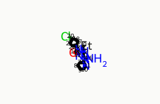 CCc1nc(N(N)c2ccccn2)nc(=O)n1-c1ccc(Cl)cc1